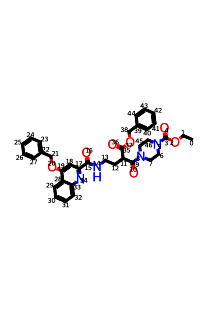 CCOC(=O)N1CCN(C(=O)C(CCNC(=O)c2cc(OCc3ccccc3)c3ccccc3n2)C(=O)OCc2ccccc2)CC1